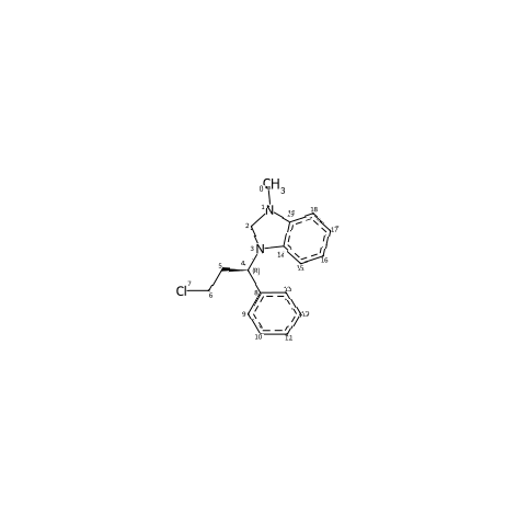 CN1[CH]N([C@H](CCCl)c2ccccc2)c2ccccc21